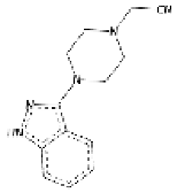 N#CCN1CCN(c2n[nH]c3ccccc23)CC1